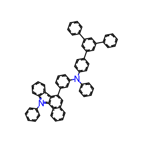 c1ccc(-c2cc(-c3ccccc3)cc(-c3ccc(N(c4ccccc4)c4cccc(-c5cc6ccccc6c6c5c5ccccc5n6-c5ccccc5)c4)cc3)c2)cc1